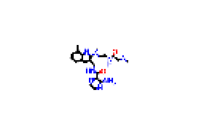 CNCC(=O)NCCN(C)c1nc2c(C)cccc2cc1CNC(=O)c1nccnc1N